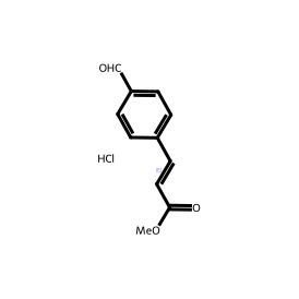 COC(=O)/C=C/c1ccc(C=O)cc1.Cl